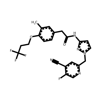 Cc1cc(CC(=O)Nc2ccn(Cc3cc(C#N)c(F)cn3)n2)ccc1OCCC(F)(F)F